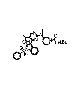 CC(O)c1cnc(N[C@H]2CCCN(C(=O)OC(C)(C)C)C2)nc1-c1cn(S(=O)(=O)c2ccccc2)c2ccccc12